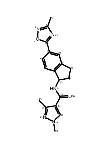 Cc1noc(-c2ccc3c(c2)CCC3NC(=O)c2cn(C)nc2C)n1